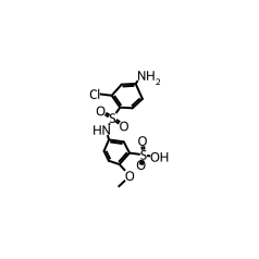 COc1ccc(NS(=O)(=O)c2ccc(N)cc2Cl)cc1S(=O)(=O)O